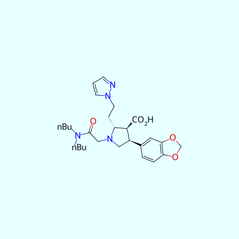 CCCCN(CCCC)C(=O)CN1C[C@H](c2ccc3c(c2)OCO3)[C@H](C(=O)O)[C@H]1CCn1cccn1